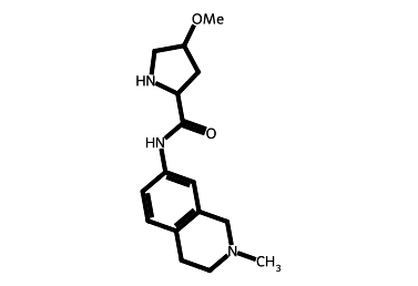 COC1CNC(C(=O)Nc2ccc3c(c2)CN(C)CC3)C1